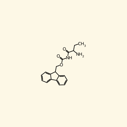 CCC(N)C(=O)NC(=O)OCC1c2ccccc2-c2ccccc21